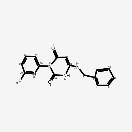 O=c1cc(NCc2ccccc2)[nH]c(=O)n1-c1cccc(F)n1